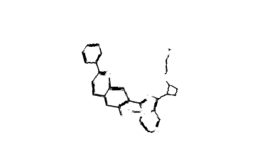 COCCOC1CCC1C1=C2C=NC=C[N+]2(N)C(c2cc3nc(-c4ccccc4)ccc3cc2Cl)=N1